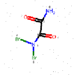 NC(=O)C(=O)N(Br)Br